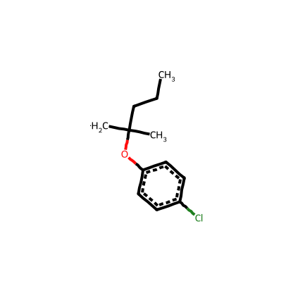 [CH2]C(C)(CCC)Oc1ccc(Cl)cc1